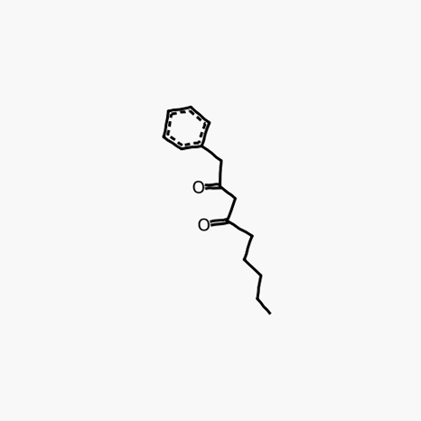 CCCCCC(=O)CC(=O)Cc1ccccc1